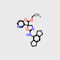 CCOC(=O)[C@]1(c2cccnc2)CN=C(Nc2c3c(cc4c2CCC4)CCC3)O1